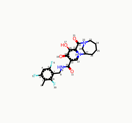 Cc1c(F)cc(F)c(CNC(=O)c2cn3c(c(O)c2=O)C(=O)N2CCCCC3C2)c1F